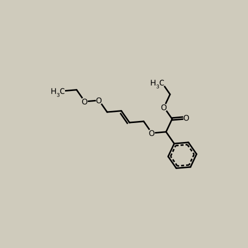 CCOOC/C=C/COC(C(=O)OCC)c1ccccc1